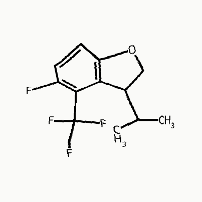 CC(C)C1COc2ccc(F)c(C(F)(F)F)c21